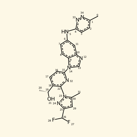 Cc1ccc(Nc2ccc3c(c2)ncn3-c2ccc([C@@H](C)O)c(-n3nc(C(F)F)cc3C)n2)nn1